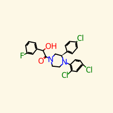 O=C(C(O)c1cccc(F)c1)N1CCN(c2ccc(Cl)cc2Cl)[C@H](c2ccc(Cl)cc2)C1